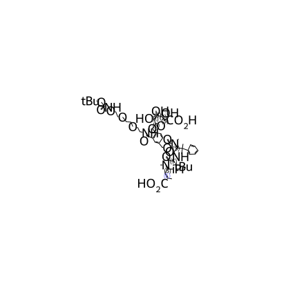 C/C(=C\[C@H](C(C)C)N(C)C(=O)[C@@H](NC(=O)[C@@H](N(C)C(=O)OCc1ccc(O[C@@H]2O[C@H](C(=O)O)[C@@H](O)[C@H](O)[C@H]2O)c(C(=O)NCCOCCOCCONC(=O)OC(C)(C)C)c1)C(C)(C)c1ccccc1)C(C)(C)C)C(=O)O